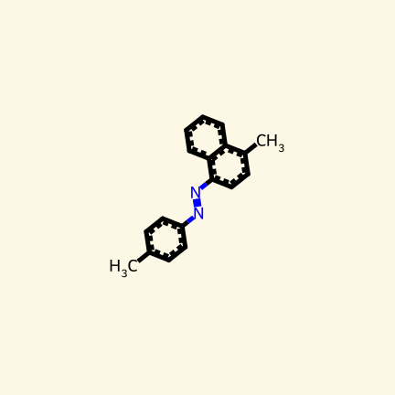 Cc1ccc(N=Nc2ccc(C)c3ccccc23)cc1